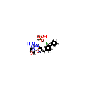 CS(=O)(=O)O.N/C(=N/c1cc(Cc2ccc(-c3ccccc3)c(F)c2)no1)N1CCOCC1